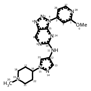 COc1cc(-n2nnc3cnc(Nc4cnn(C5CCN(C)CC5)c4)nc32)ccn1